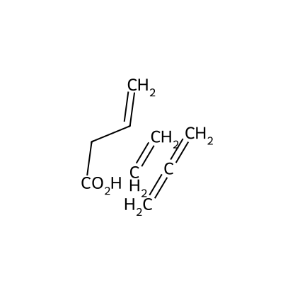 C=C.C=C=C.C=CCC(=O)O